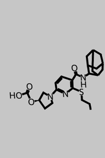 CCCSc1nc(N2CC[C@@H](OC(=O)O)C2)ccc1C(=O)NC1C2CC3CC(C2)CC1C3